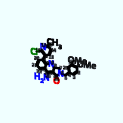 COc1ccc(CN2Cc3nc4c(-c5ccc(C)nc5Cl)cccc4c(N)c3C2=O)cc1OC